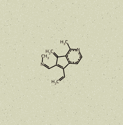 C=CC1=C(/C=N\C)C(=C)c2c1ccnc2C